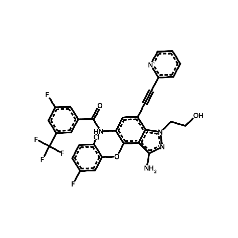 Nc1nn(CCO)c2c(C#Cc3ccccn3)cc(NC(=O)c3cc(F)cc(C(F)(F)F)c3)c(Oc3cc(F)ccc3Cl)c12